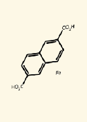 O=C(O)c1ccc2cc(C(=O)O)ccc2c1.[Fe]